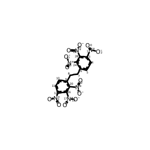 O=[N+]([O-])c1ccc(CCc2ccc([N+](=O)[O-])c([N+](=O)[O-])c2[N+](=O)[O-])c([N+](=O)[O-])c1[N+](=O)[O-]